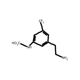 NCCc1cc(NC(=O)O)cc(C(F)(F)F)c1